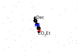 CCCCCCCCCCCc1ccc(-c2cnc(-c3ccc(OC(C)C(=O)OCC)cc3)nc2)cc1